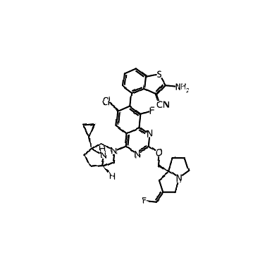 N#Cc1c(N)sc2cccc(-c3c(Cl)cc4c(N5C[C@@H]6CC[C@](C7CC7)(C5)N6)nc(OC[C@@]56CCCN5C/C(=C/F)C6)nc4c3F)c12